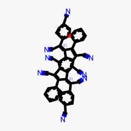 N#CC1=C(c2ccccc2)/C(=C(/C#N)c2ccc(C#N)cc2)c2c(C#N)c3c(c(C#N)c21)/C(=C(\C#N)c1ccc(C#N)cc1)C(c1ccccc1)=C3C#N